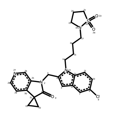 O=C1N(Cc2cc3cc(Cl)ccc3n2CCCCN2CCCS2(=O)=O)c2cnccc2C12CC2